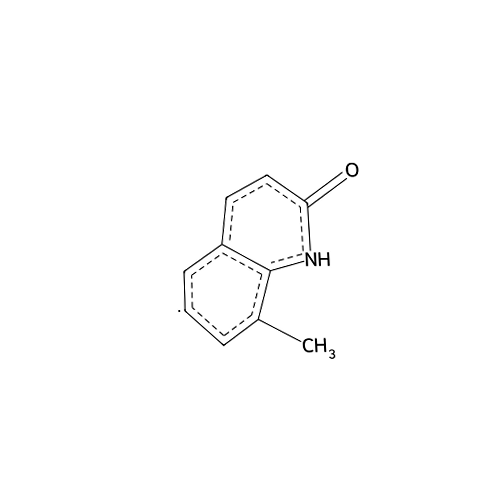 Cc1c[c]cc2ccc(=O)[nH]c12